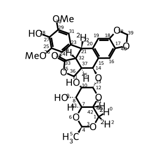 [2H]C1([2H])O[C@@H](C)O[C@H]2[C@H](O)[C@@H](O)[C@H](O[C@@H]3c4cc5c(cc4[C@@]([2H])(c4cc(OC)c(O)c(OC)c4)[C@H]4C(=O)OC[C@H]34)OCO5)O[C@@H]21